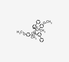 CCOc1ccc(C(C)(C)CC(OC(CC(C)(C)c2ccc(OCC)cc2)c2cccc(-c3ccccc3)c2)c2cccc(-c3ccccc3)c2)cc1